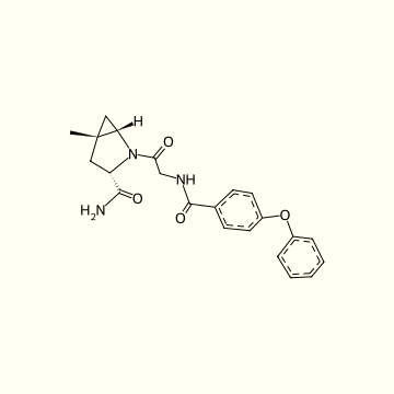 C[C@@]12C[C@@H]1N(C(=O)CNC(=O)c1ccc(Oc3ccccc3)cc1)[C@H](C(N)=O)C2